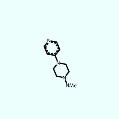 CNN1CCN(c2ccncc2)CC1